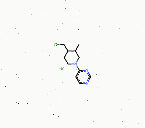 CC1CN(c2ccncn2)CCC1CCl.Cl